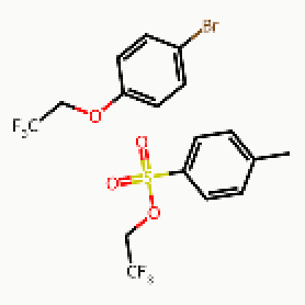 Cc1ccc(S(=O)(=O)OCC(F)(F)F)cc1.FC(F)(F)COc1ccc(Br)cc1